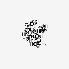 CNC(=O)c1cc(Cl)c(OC(C)(C)C(=O)O)cc1N1C[C@@H](O)[C@H](NC2CCN(C(=O)c3ccc(Cl)cc3)CC2)C1.O=C(O)C(F)(F)F